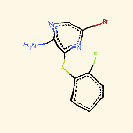 Nc1ncc(Br)nc1Sc1ccccc1F